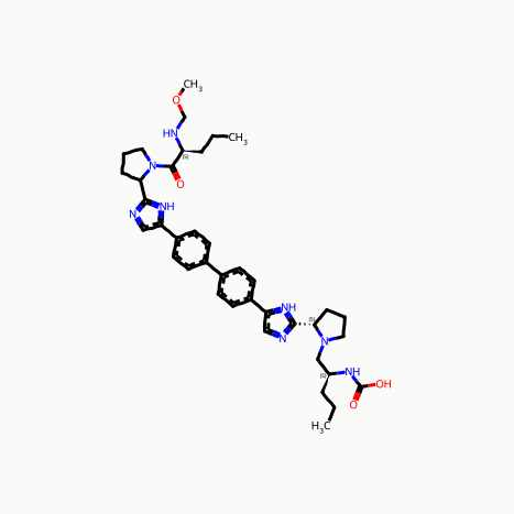 CCC[C@@H](CN1CCC[C@H]1c1ncc(-c2ccc(-c3ccc(-c4cnc(C5CCCN5C(=O)[C@H](CCC)NCOC)[nH]4)cc3)cc2)[nH]1)NC(=O)O